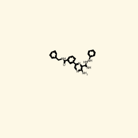 N=C(NNc1ccccc1)c1nc(-c2cccc(C(=O)NCc3ccccc3)c2)cnc1N